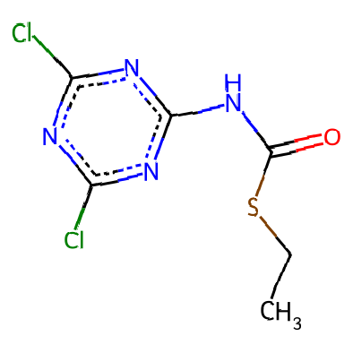 CCSC(=O)Nc1nc(Cl)nc(Cl)n1